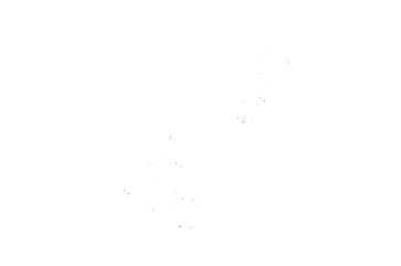 CCCCc1nc2c(N)nc3ccccc3c2n1CCCCNC(=O)Nc1cccc(Br)c1